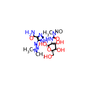 CN(C)/N=N/c1[nH]cnc1C(N)=O.CN(N=O)C(=O)N[C@@H]1[C@@H](O)[C@H](O)[C@@H](CO)O[C@@H]1O